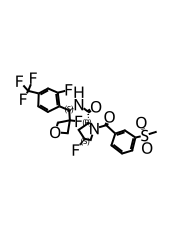 CS(=O)(=O)c1cccc(C(=O)N2C[C@@H](F)C[C@@H]2C(=O)N[C@@H](c2ccc(C(F)(F)F)cc2F)C2(F)COC2)c1